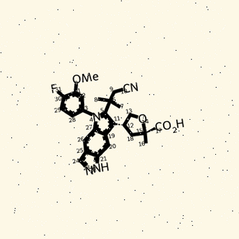 COc1cc(-n2c(C(C)(C)CC#N)c([C@@H]3CO[C@@](C)(C(=O)O)C3)c3cc4[nH]ncc4cc32)ccc1F